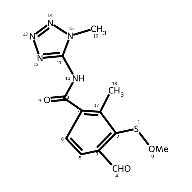 COSc1c(C=O)ccc(C(=O)Nc2nnnn2C)c1C